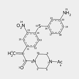 C=C(C(=O)N1CCN(C(C)=O)CC1)c1ccc(Sc2cccc(N)c2)c([N+](=O)[O-])c1